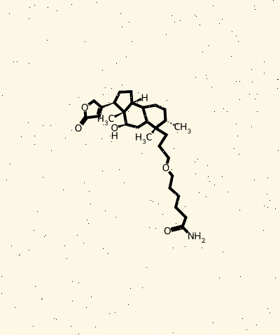 C[C@H]1CCC2C(C[C@@H](O)[C@]3(C)[C@@H](C4=CC(=O)OC4)CC[C@H]23)[C@@]1(C)CCCOCCCCCC(N)=O